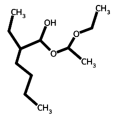 CCCCC(CC)C(O)OC(C)OCC